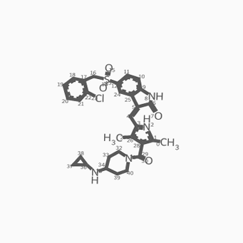 Cc1[nH]c(/C=C2\C(=O)Nc3ccc(S(=O)(=O)Cc4ccccc4Cl)cc32)c(C)c1C(=O)N1CCC(NC2CC2)CC1